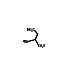 O=C(O)CC(O)C(=O)O.[Zn]